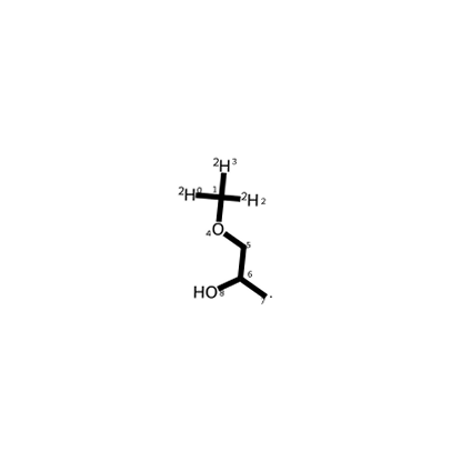 [2H]C([2H])([2H])OCC([CH2])O